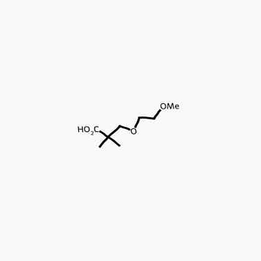 COCCOCC(C)(C)C(=O)O